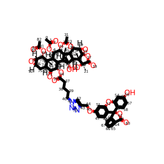 CC(=O)O[C@H]1[C@H]2[C@H]([C@@H]3[C@@]4(O)C[C@@]5([C@H](C)[C@H]6O[C@]67OC(=O)[C@@](C)(O)[C@]7(C)[C@H]45)[C@@]3(C)[C@H]1OC(C)=O)[C@@H](OC(=O)CCCCn1cc(COc3ccc4c(c3)Oc3cc(O)ccc3C43OC(=O)c4ccccc43)nn1)C(=O)[C@H]1C[C@@H]3O[C@@H]3[C@H](OC(C)=O)[C@]21C